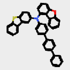 c1ccc(-c2ccc(-c3ccc(N(c4ccc5sc6ccccc6c5c4)c4cccc5oc6ccccc6c45)cc3)cc2)cc1